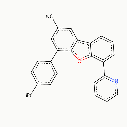 CC(C)c1ccc(-c2cc(C#N)cc3c2oc2c(-c4ccccn4)cccc23)cc1